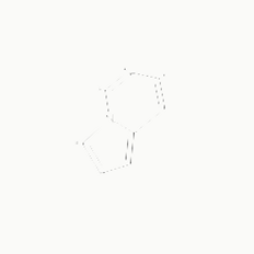 [c]1cc2ccncn2c1